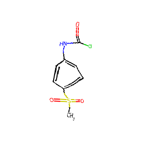 CS(=O)(=O)c1ccc(NC(=O)Cl)cc1